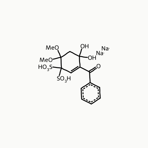 COC1(OC)CC(O)(O)C(C(=O)c2ccccc2)=CC1(S(=O)(=O)O)S(=O)(=O)O.[Na].[Na]